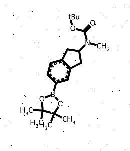 CN(C(=O)OC(C)(C)C)C1Cc2ccc(B3OC(C)(C)C(C)(C)O3)cc2C1